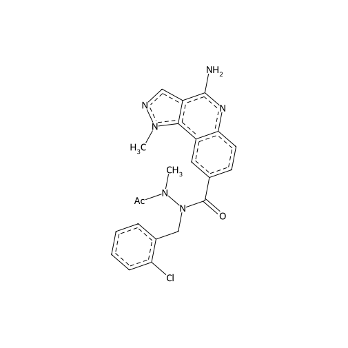 CC(=O)N(C)N(Cc1ccccc1Cl)C(=O)c1ccc2nc(N)c3cnn(C)c3c2c1